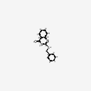 O=c1sc(SCc2ccccc2)nc2ccccc12